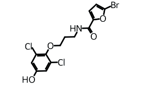 O=C(NCCCOc1c(Cl)cc(O)cc1Cl)c1ccc(Br)o1